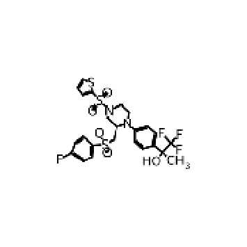 C[C@@](O)(c1ccc(N2CCN(S(=O)(=O)c3cccs3)C[C@@H]2CS(=O)(=O)c2ccc(F)cc2)cc1)C(F)(F)F